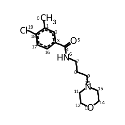 Cc1cc(C(=O)NCCCN2CCOCC2)ccc1Cl